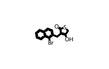 O=C1SCC(O)=C1Cc1ccc2ccccc2c1Br